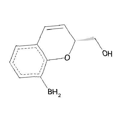 Bc1cccc2c1O[C@@H](CO)C=C2